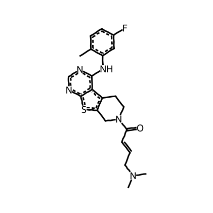 Cc1ccc(F)cc1Nc1ncnc2sc3c(c12)CCN(C(=O)C=CCN(C)C)C3